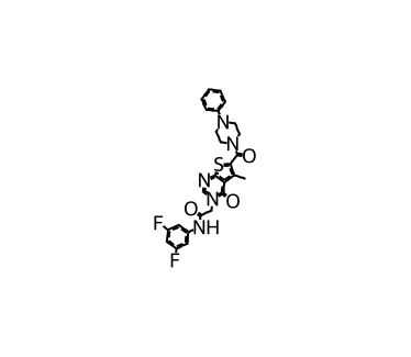 Cc1c(C(=O)N2CCN(c3ccccc3)CC2)sc2ncn(CC(=O)Nc3cc(F)cc(F)c3)c(=O)c12